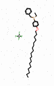 CCCCCCCCCCCCCCCCCCOc1ccc([S+](CC)Cc2ccccc2)cc1.F[B-](F)(F)F